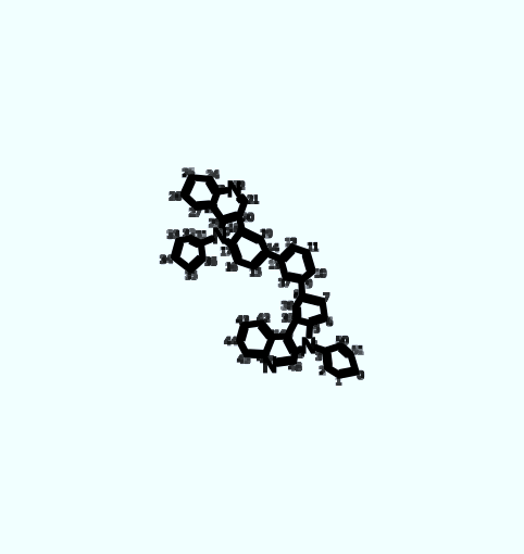 c1ccc(-n2c3ccc(-c4cccc(-c5ccc6c(c5)c5cnc7ccccc7c5n6-c5ccccc5)c4)cc3c3c4ccccc4ncc32)cc1